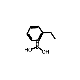 CCc1ccccc1.OBO